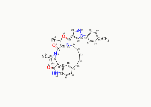 CC(C)C[C@H]1C(=O)N2C[C@]3(C[C@H]2C#N)C(=O)Nc2ccc(cc23)CCCCCN1C(=O)c1cnn(-c2ccc(C(F)(F)F)cc2)c1